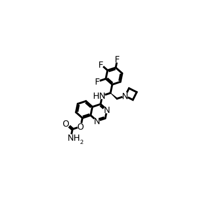 NC(=O)Oc1cccc2c(N[C@H](CN3CCC3)c3ccc(F)c(F)c3F)ncnc12